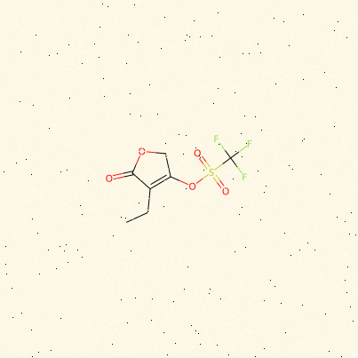 CCC1=C(OS(=O)(=O)C(F)(F)F)COC1=O